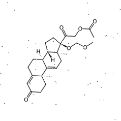 COCO[C@]1(C(=O)COC(C)=O)CC[C@H]2[C@@H]3CCC4=CC(=O)CC[C@]4(C)C3=CC[C@@]21C